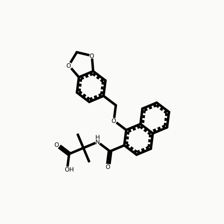 CC(C)(NC(=O)c1ccc2ccccc2c1OCc1ccc2c(c1)OCO2)C(=O)O